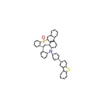 O=P1(c2ccc3ccccc3c2)C2=C(c3ccccc3N(c3ccc(-c4ccc5sc6ccccc6c5c4)cc3)c3ccccc32)c2ccccc21